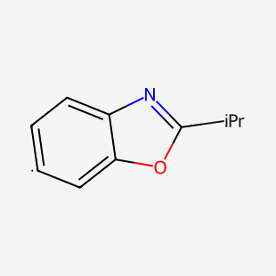 CC(C)c1nc2cc[c]cc2o1